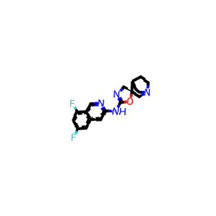 Fc1cc(F)c2cnc(NC3=NC[C@@]4(CN5CCC4CC5)O3)cc2c1